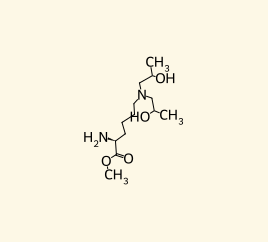 COC(=O)[C@@H](N)CCCCN(CC(C)O)CC(C)O